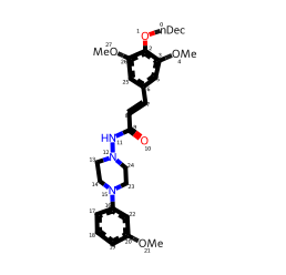 CCCCCCCCCCOc1c(OC)cc(C=CC(=O)NN2CCN(c3cccc(OC)c3)CC2)cc1OC